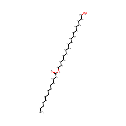 CCCCC=CCCCCCCCC(=O)OCCCCCCCCCCCCCCCCCCCO